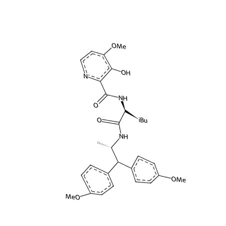 CC[C@H](C)[C@H](NC(=O)c1nccc(OC)c1O)C(=O)N[C@@H](C)C(c1ccc(OC)cc1)c1ccc(OC)cc1